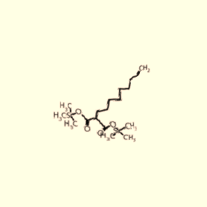 C=CCCCCCCCC(C(=O)O[Si](C)(C)C)C(=O)O[Si](C)(C)C